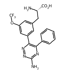 Nc1nnc(-c2cc(C[C@H](N)C(=O)O)cc(OC(F)(F)F)c2)c(-c2ccccc2)n1